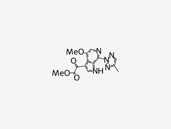 COC(=O)C(=O)c1c[nH]c2c(-n3ncc(C)n3)ncc(OC)c12